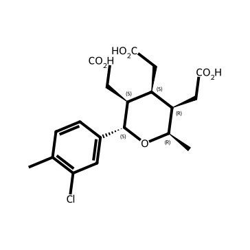 Cc1ccc([C@H]2O[C@H](C)[C@H](CC(=O)O)[C@H](CC(=O)O)[C@@H]2CC(=O)O)cc1Cl